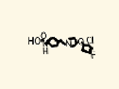 O=C(O)NC1CCC(CCN2CCC(Oc3ccc(F)cc3Cl)CC2)CC1